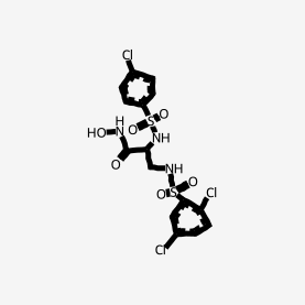 O=C(NO)C(CNS(=O)(=O)c1cc(Cl)ccc1Cl)NS(=O)(=O)c1ccc(Cl)cc1